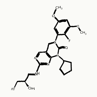 COc1cc(OC)c(F)c(N2Cc3cnc(NC[C@@H](O)CO)nc3N(C3CCCC3)C2=O)c1